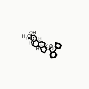 C[C@@]1(O)CC[C@@]2(C)[C@@H](CC[C@@H]3[C@@H]2CC[C@]2(C)[C@@H](C(=O)c4ccccc4-c4ccccc4)CC[C@@H]32)C1